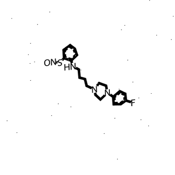 O=NSc1ccccc1NCCCCN1CCN(c2ccc(F)cc2)CC1